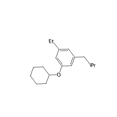 CCc1cc(CC(C)C)cc(OC2CCCCC2)c1